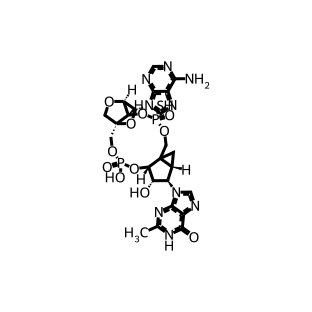 Cc1nc2c(ncn2[C@H]2[C@H](O)[C@@H]3OP(=O)(O)OC[C@@]45CO[C@@H]([C@H](n6cnc7c(N)ncnc76)O4)[C@@H]5OP(=O)(S)OCC34C[C@H]24)c(=O)[nH]1